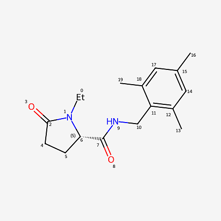 CCN1C(=O)CC[C@H]1C(=O)NCc1c(C)cc(C)cc1C